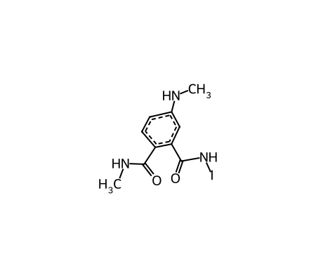 CNC(=O)c1ccc(NC)cc1C(=O)NI